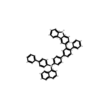 c1ccc(-c2ccc(N(c3ccc(-c4ccc(-c5ccccc5)c(-c5ccc6sc7ccccc7c6c5)c4)cc3)c3cccc4ccccc34)cc2)cc1